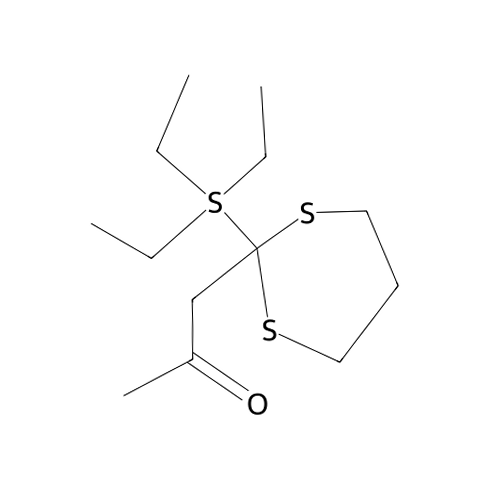 CCS(CC)(CC)C1(CC(C)=O)SCCCS1